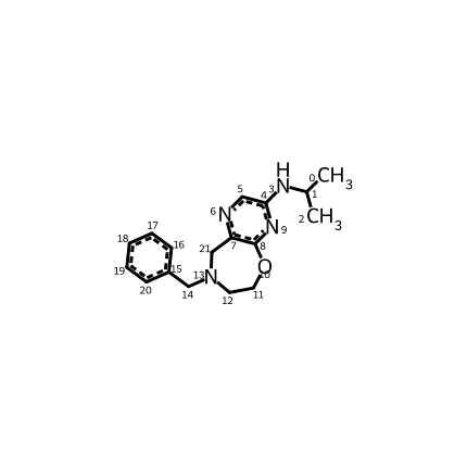 CC(C)Nc1cnc2c(n1)OCCN(Cc1ccccc1)C2